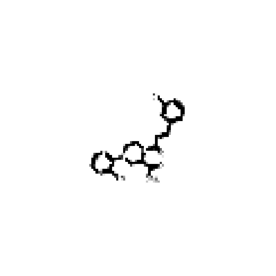 COC(=O)C1CN(c2nccnc2C#N)CCN1C(=O)/C=C/c1cccc(Cl)c1